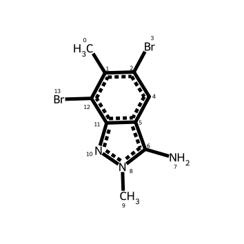 Cc1c(Br)cc2c(N)n(C)nc2c1Br